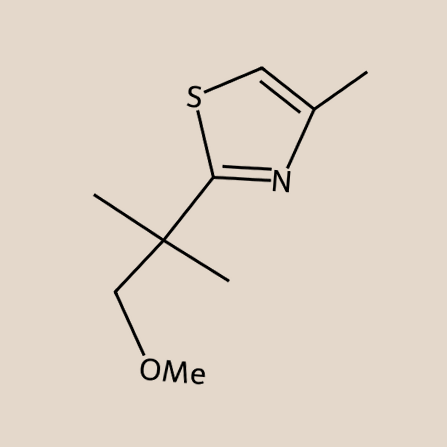 COCC(C)(C)c1nc(C)cs1